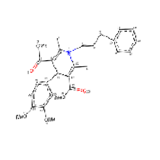 COC(=O)C1=C(C)N(CCCc2ccccc2)C(C)=C(C(=O)OC)C1c1ccc(OC)c(OC)c1